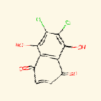 O=C1C=CC(=O)c2c(O)c(Cl)c(Cl)c(O)c21